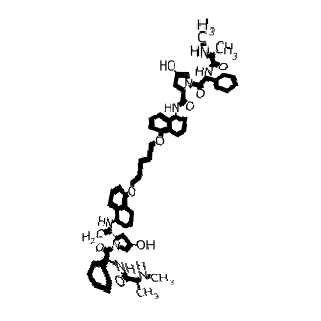 C=C(N[C@@H]1CCCc2c(OCCCCCOc3cccc4c3CCC[C@H]4NC(=O)C3C[C@H](O)CN3C(=O)[C@@H](NC(=O)[C@H](C)NC)C3CCCCC3)cccc21)[C@@H]1C[C@H](O)CN1C(=O)[C@@H](NC(=O)[C@H](C)NC)C1CCCCC1